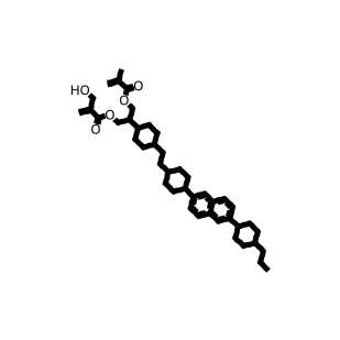 C=C(C)C(=O)OCC(COC(=O)C(=C)CO)C1CCC(CCC2CCC(c3ccc4cc(C5CCC(CCC)CC5)ccc4c3)CC2)CC1